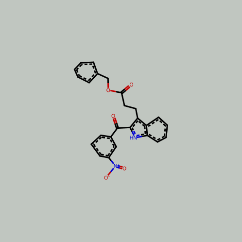 O=C(CCc1c(C(=O)c2cccc([N+](=O)[O-])c2)[nH]c2ccccc12)OCc1ccccc1